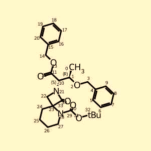 C[C@@H](OCc1ccccc1)[C@@H](C(=O)OCc1ccccc1)N1CC2(CCCCN2C(=O)OC(C)(C)C)C1=O